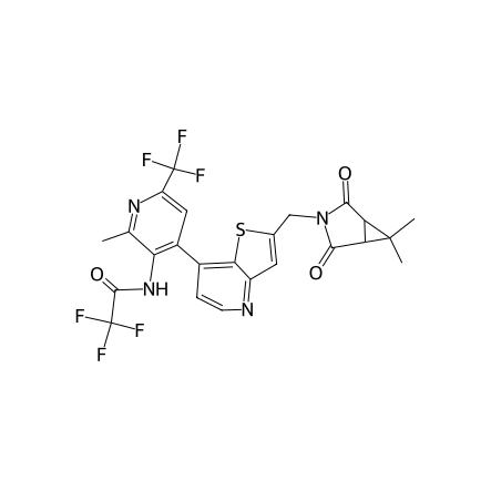 Cc1nc(C(F)(F)F)cc(-c2ccnc3cc(CN4C(=O)C5C(C4=O)C5(C)C)sc23)c1NC(=O)C(F)(F)F